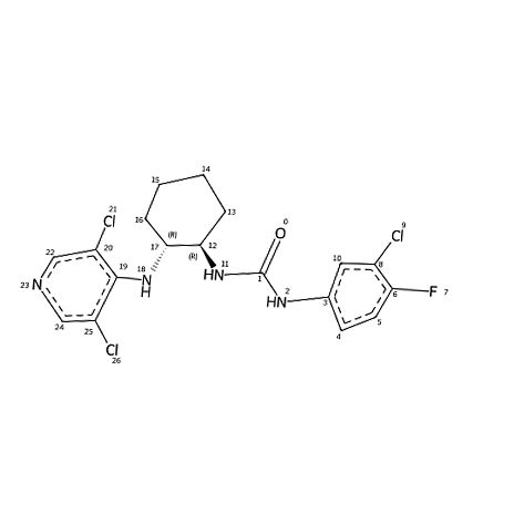 O=C(Nc1ccc(F)c(Cl)c1)N[C@@H]1CCCC[C@H]1Nc1c(Cl)cncc1Cl